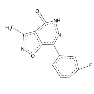 Cc1noc2c(-c3cccc(F)c3)n[nH]c(=O)c12